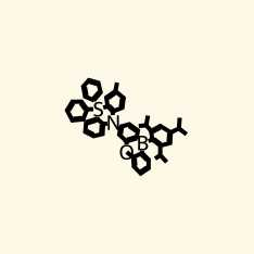 Cc1ccc2c(c1)S(c1ccccc1)(c1ccccc1)c1ccccc1N2c1ccc2c(c1)Oc1ccccc1B2c1c(C(C)C)cc(C(C)C)cc1C(C)C